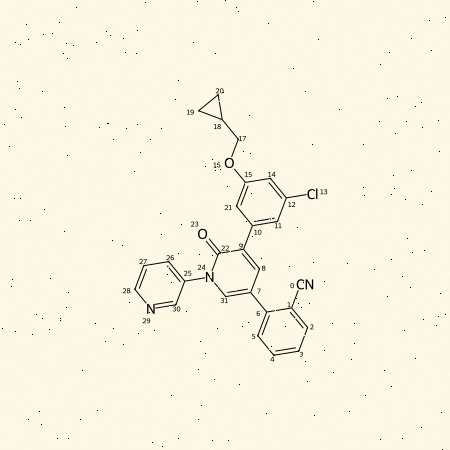 N#Cc1ccccc1-c1cc(-c2cc(Cl)cc(OCC3CC3)c2)c(=O)n(-c2cccnc2)c1